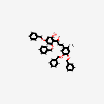 Cc1cc(OCc2ccccc2)c(OCc2ccccc2)cc1C=CC(=O)c1c(O)cc(OCc2ccccc2)cc1OCc1ccccc1